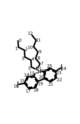 CCCCCC[Si]1(CCCCCC)c2cc(I)ccc2-c2ccc(I)cc21